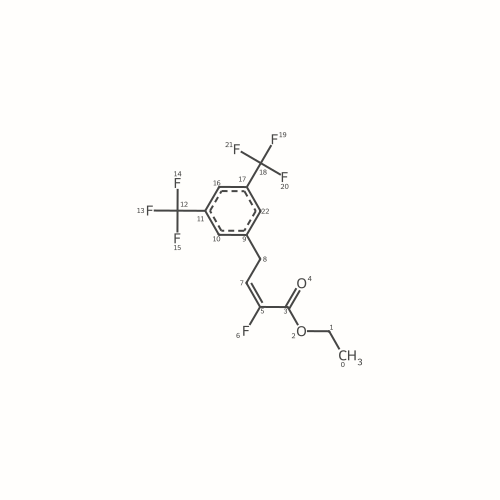 CCOC(=O)/C(F)=C\Cc1cc(C(F)(F)F)cc(C(F)(F)F)c1